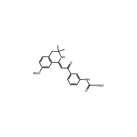 CCCCCCCC(=O)Nc1cccc(C(=O)C=C2NC(C)(C)Cc3ccc(OC)cc32)c1